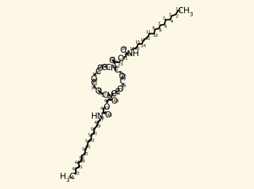 CCCCCCCCCCCCCCCCCCNC(=O)COCC(=O)N1CCOCCOCCOCCN(C(=O)COCC(=O)NCCCCCCCCCCCCCCCCCC)CCOCCOCC1